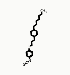 CCCCCCCC1CCC(CCCOc2ccc(N=C=S)cc2)CC1